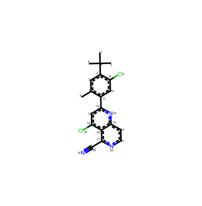 Cc1cc(C(C)(C)C)c(Cl)cc1-c1cc(Cl)c2c(C#N)nccc2n1